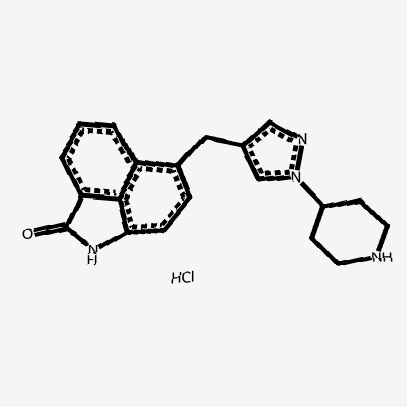 Cl.O=C1Nc2ccc(Cc3cnn(C4CCNCC4)c3)c3cccc1c23